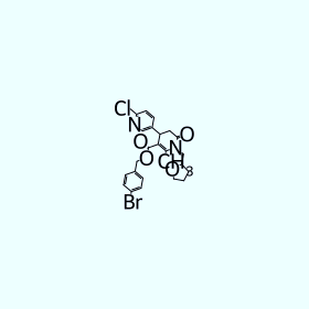 CC1=C(C(=O)OCc2ccc(Br)cc2)C(c2ccc(Cl)nc2)CC(=O)N1CC1CCCO1